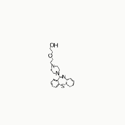 OCCOCCN1CCN(C2=NC3=C(CCC=C3)Sc3ccccc32)CC1